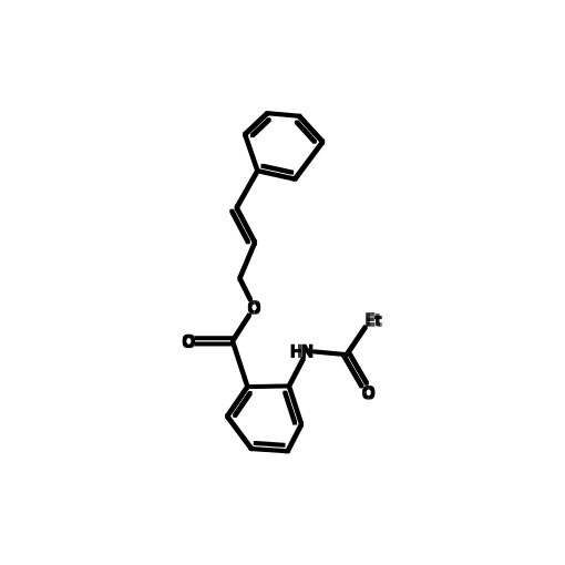 CCC(=O)Nc1ccccc1C(=O)OC/C=C/c1ccccc1